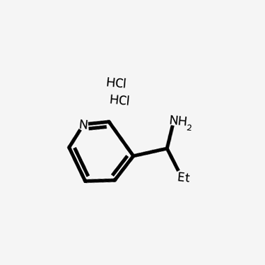 CCC(N)c1cccnc1.Cl.Cl